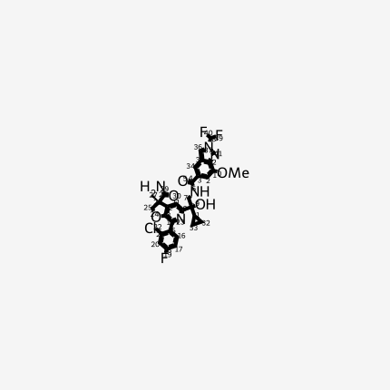 COc1cc(C(=O)NCC(O)(c2cc3c(c(-c4ccc(F)cc4Cl)n2)OC[C@]3(C)C(N)=O)C2CC2)cc2cn(C(F)F)nc12